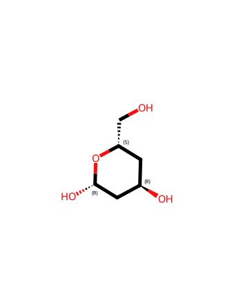 OC[C@@H]1C[C@@H](O)C[C@H](O)O1